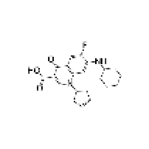 O=C(O)c1cn(C2CC=CC2)c2cc(NC3CCCCC3)c(F)cc2c1=O